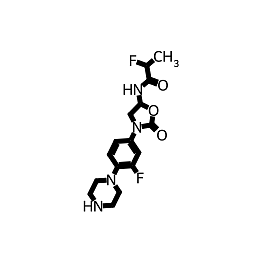 CC(F)C(=O)NC1CN(c2ccc(N3CCNCC3)c(F)c2)C(=O)O1